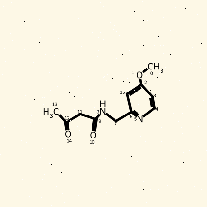 COc1ccnc(CNC(=O)CC(C)=O)c1